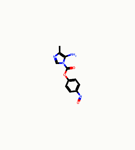 Cc1ncn(C(=O)Oc2ccc(N=O)cc2)c1N